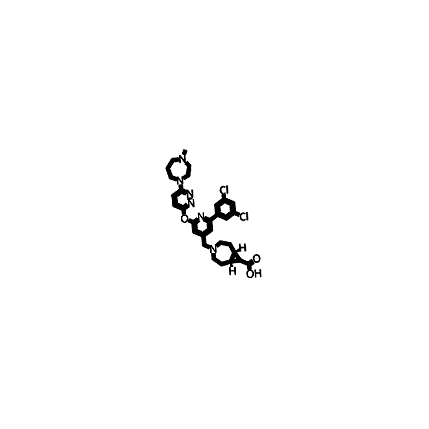 CN1CCCN(c2ccc(Oc3cc(CN4CC[C@@H]5C(C(=O)O)[C@@H]5CC4)cc(-c4cc(Cl)cc(Cl)c4)n3)nn2)CC1